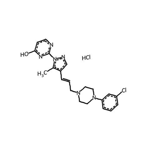 Cc1c(C=CCN2CCN(c3cccc(Cl)c3)CC2)cnn1-c1nccc(O)n1.Cl